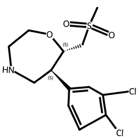 CS(=O)(=O)C[C@H]1OCCNC[C@@H]1c1ccc(Cl)c(Cl)c1